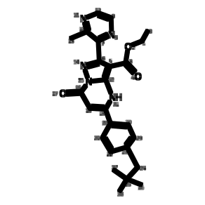 CCOC(=O)c1c(-c2nccnc2C)nn2c(=O)cc(-c3ccc(CC(C)(C)C)cc3)[nH]c12